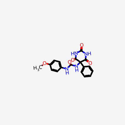 COc1ccc(NC(=O)NC2(c3ccccc3)C(=O)NC(=O)NC2=O)cc1